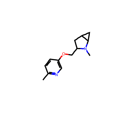 Cc1ccc(OCC2CC3CC3N2C)cn1